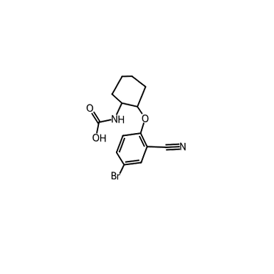 N#Cc1cc(Br)ccc1OC1CCCCC1NC(=O)O